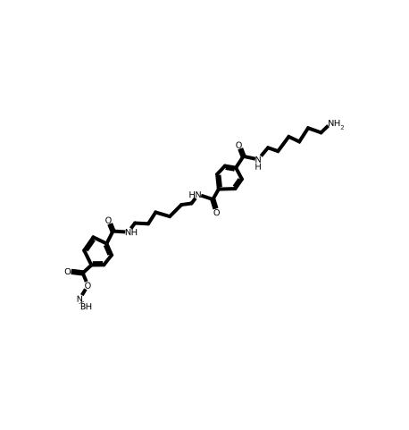 B=NOC(=O)c1ccc(C(=O)NCCCCCCNC(=O)c2ccc(C(=O)NCCCCCCN)cc2)cc1